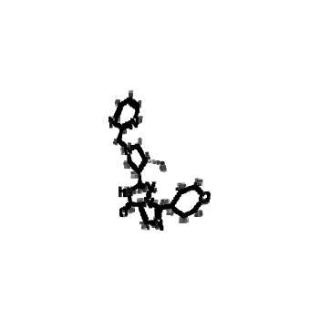 C[C@H]1CN(Cc2ncccn2)C[C@@H]1c1nn2c(C3CCOCC3)ncc2c(=O)[nH]1